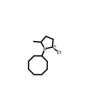 CC[C@@H]1CCC(C)N1C1CCCCCCC1